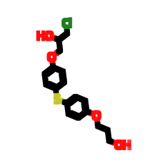 OCCCOc1ccc(Sc2ccc(OCC(O)CCl)cc2)cc1